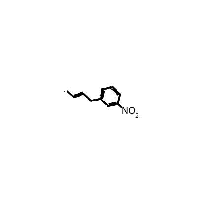 [CH2]/C=C/Cc1cccc([N+](=O)[O-])c1